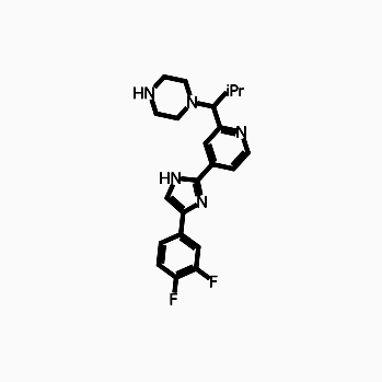 CC(C)C(c1cc(-c2nc(-c3ccc(F)c(F)c3)c[nH]2)ccn1)N1CCNCC1